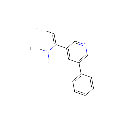 CN(C)C(=CC=O)c1cncc(-c2ccccc2)c1